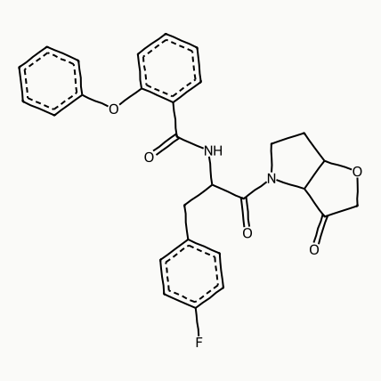 O=C(NC(Cc1ccc(F)cc1)C(=O)N1CCC2OCC(=O)C21)c1ccccc1Oc1ccccc1